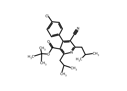 CC(C)Cc1nc(CC(C)C)c(C(=O)OC(C)(C)C)c(-c2ccc(Cl)cc2)c1C#N